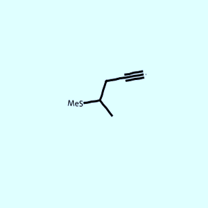 [C]#CCC(C)SC